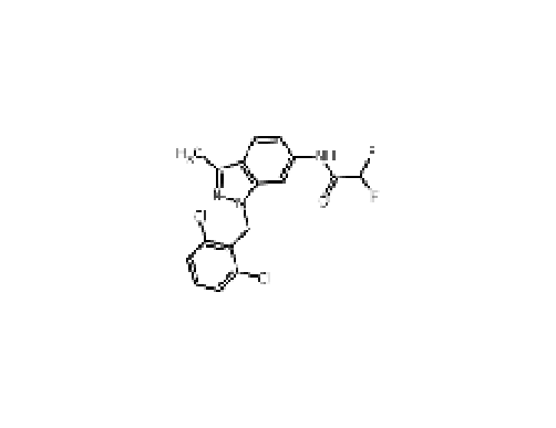 Cc1nn(Cc2c(Cl)cccc2Cl)c2cc(NC(=O)C(F)F)ccc12